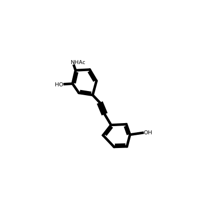 CC(=O)Nc1ccc(C#Cc2cccc(O)c2)cc1O